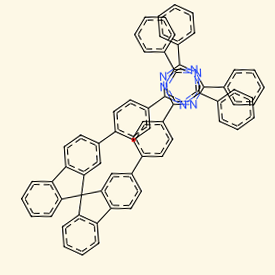 c1ccc(-c2nc(-c3ccccc3)nc(-c3ccc(-c4ccc5c(c4)C4(c6ccccc6-5)c5ccccc5-c5ccc(-c6ccc(-c7nc(-c8ccccc8)nc(-c8ccccc8)n7)cc6)cc54)cc3)n2)cc1